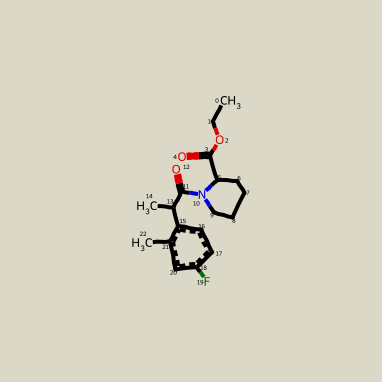 CCOC(=O)C1CCCCN1C(=O)C(C)c1ccc(F)cc1C